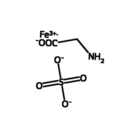 NCC(=O)[O-].O=S(=O)([O-])[O-].[Fe+3]